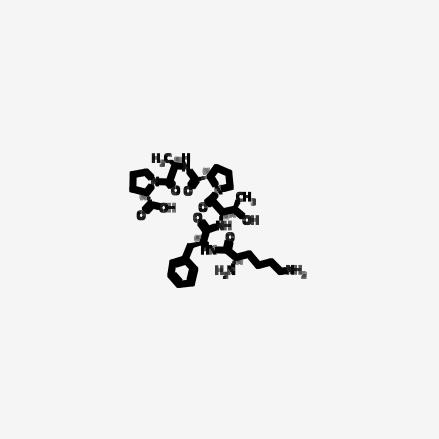 C[C@H](NC(=O)[C@@H]1CCCN1C(=O)[C@@H](NC(=O)[C@H](Cc1ccccc1)NC(=O)[C@@H](N)CCCCN)[C@@H](C)O)C(=O)N1CCC[C@H]1C(=O)O